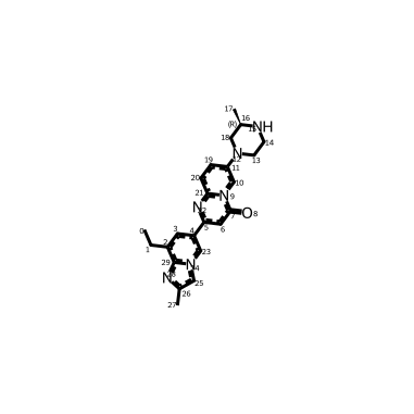 CCc1cc(-c2cc(=O)n3cc(N4CCN[C@H](C)C4)ccc3n2)cn2cc(C)nc12